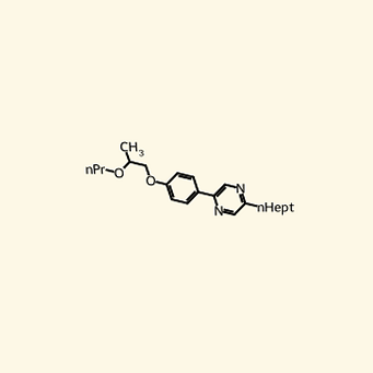 CCCCCCCc1cnc(-c2ccc(OCC(C)OCCC)cc2)cn1